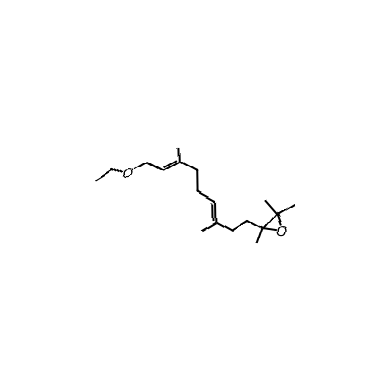 CCOCC=C(C)CCC=C(C)CCC1(C)OC1(C)C